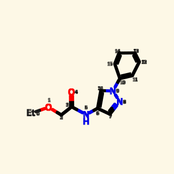 CCOCC(=O)Nc1cnn(-c2ccccc2)c1